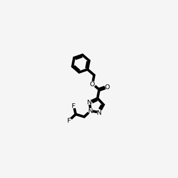 O=C(OCc1ccccc1)c1cnn(CC(F)F)n1